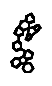 c1cc(-c2ccc3c(c2)C2(c4ccccc4O3)c3ccccc3-c3ccccc32)cc(-c2cccc3c2-c2ccccc2C32CCCCC2)c1